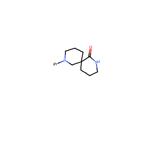 CC(C)N1CCCC2(CCCNC2=O)C1